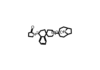 CCOC(=O)N1C2CCC(N3CCC4(CC[C@H](N5CCCC5=O)c5ccccc54)CC3)CCC1CC2